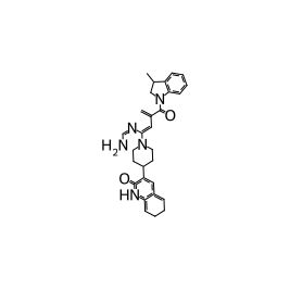 C=C(/C=C(\N=C/N)N1CCC(c2cc3c([nH]c2=O)=CCCC=3)CC1)C(=O)N1CC(C)c2ccccc21